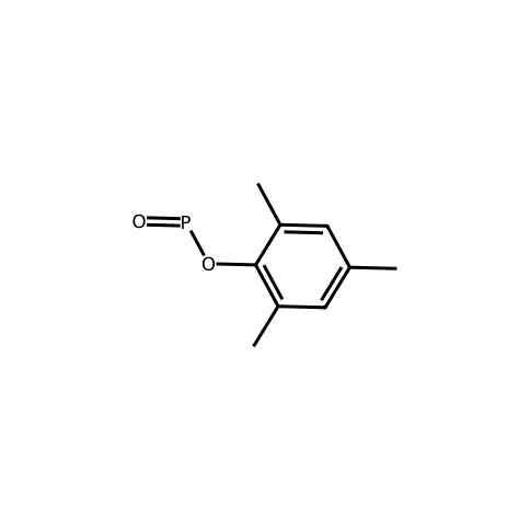 Cc1cc(C)c(OP=O)c(C)c1